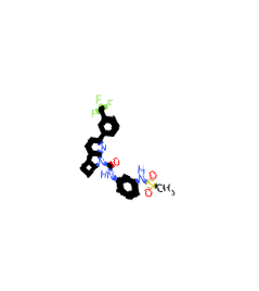 CS(=O)(=O)Nc1cccc(NC(=O)N2c3nc(-c4cccc(C(F)(F)F)c4)ccc3C3CCC32)c1